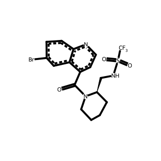 O=C(c1ccnc2ccc(Br)cc12)N1CCCC[C@@H]1CNS(=O)(=O)C(F)(F)F